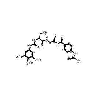 COc1cc(NC(=O)N[C@@H](CO)C(=O)NCC(=O)NC(=O)c2ccc(NC(=N)N)cc2)cc(OC)c1OC